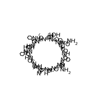 CCCC[C@H]1C(=O)N(C)[C@@H](CCCC)C(=O)N[C@@H](CC(=O)O)C(=O)N[C@H](C(=O)NCC(N)=O)CSCC(=O)N[C@@H](Cc2ccccc2)C(=O)N(C)[C@@H](C)C(=O)N[C@@H](CC(N)=O)C(=O)N2CCC[C@H]2C(=O)N[C@@H](Cc2cnc[nH]2)C(=O)N[C@@H](CC(C)C)C(=O)N(C)CC(=O)N[C@@H](Cc2c[nH]c3ccccc23)C(=O)N[C@@H](CO)C(=O)N[C@@H](Cc2c[nH]c3ccccc23)C(=O)N1C